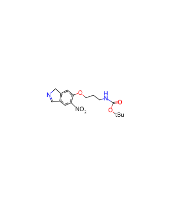 CC(C)(C)OC(=O)NCCCOc1cc2c(cc1[N+](=O)[O-])C=NC2